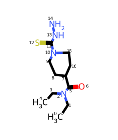 CCN(CC)C(=O)C1CCN(C(=S)NN)CC1